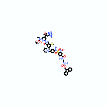 CCN(C(=O)OC(C)(C)C)c1cc(C2(Cc3nncn3C)COC2)cc(N2Cc3c(SC)cc(C[N+]4(Cc5ccc(NS(=O)(=O)c6ccc(C(=O)NCCNC(=O)OCC7c8ccccc8-c8ccccc87)cc6[N+](=O)[O-])cc5)CCC[C@H](C)C4)cc3C2=O)n1